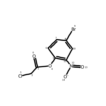 O=C(CCl)Oc1ccc(Br)cc1[N+](=O)[O-]